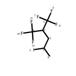 CC(I)CC(C(F)(F)F)C(F)(F)F